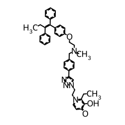 CC/C(=C(\c1ccccc1)c1ccc(OCCN(C)Cc2ccc(-c3cn(CCn4ccc(=O)c(O)c4CC)nn3)cc2)cc1)c1ccccc1